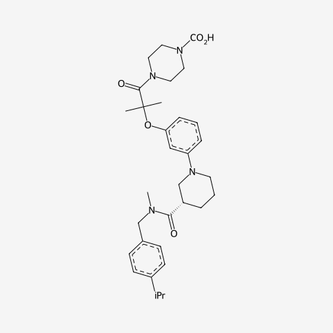 CC(C)c1ccc(CN(C)C(=O)[C@H]2CCCN(c3cccc(OC(C)(C)C(=O)N4CCN(C(=O)O)CC4)c3)C2)cc1